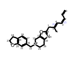 C=C/C=C\C=C(/C)Cc1nc2c(o1)CN(Cc1ccc3c(c1)OCC3)CC2